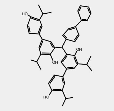 CC(C)c1cc(-c2cc(C(C)C)c(O)c(C(c3ccc(-c4ccccc4)cc3)c3cc(-c4ccc(O)c(C(C)C)c4)cc(C(C)C)c3O)c2)ccc1O